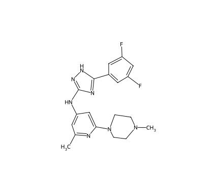 Cc1cc(Nc2n[nH]c(-c3cc(F)cc(F)c3)n2)cc(N2CCN(C)CC2)n1